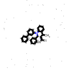 CC/C(=C\C(C)c1ccccc1N(Cc1ccccc1)c1cccc(-c2ccccc2)c1)NC